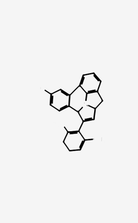 CC1=CCCC(C)=C1C1=CC2Cc3cccc4c3N2C1c1ccc(C)cc1-4